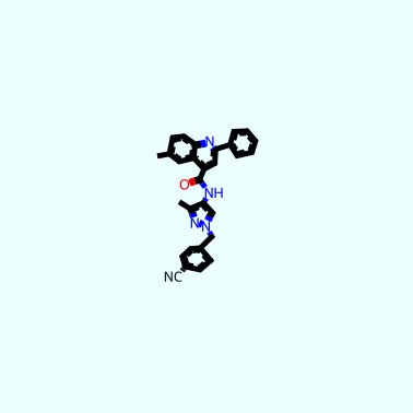 Cc1ccc2nc(-c3ccccc3)cc(C(=O)Nc3cn(Cc4ccc(C#N)cc4)nc3C)c2c1